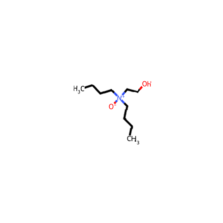 CCCC[N+]([O-])(CCO)CCCC